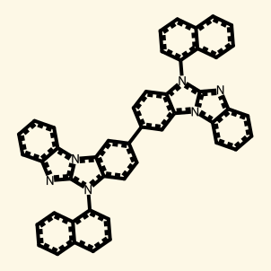 c1ccc2c(-n3c4ccc(-c5ccc6c(c5)n5c7ccccc7nc5n6-c5cccc6ccccc56)cc4n4c5ccccc5nc34)cccc2c1